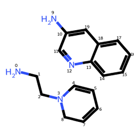 NCCN1C=CC=CC1.Nc1cnc2ccccc2c1